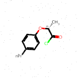 CCCc1ccc(O[C@H](C)C(=O)Cl)cc1